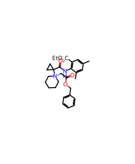 CCOC(=O)c1cc(C)cc(C)c1NC(=O)C1([N+]2(CC(=O)OCc3ccccc3)CCCCC2)CC1